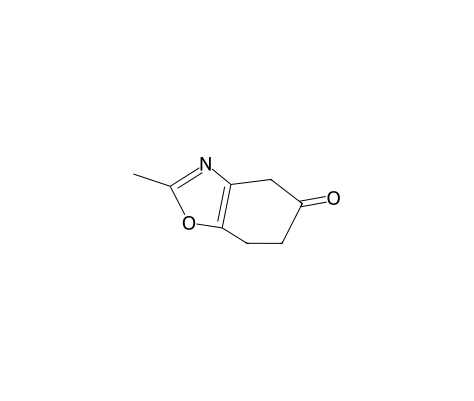 Cc1nc2c(o1)CCC(=O)C2